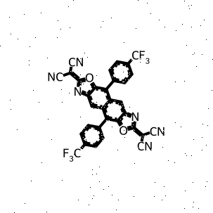 N#CC(C#N)=c1nc2cc3c(-c4ccc(C(F)(F)F)cc4)c4oc(=C(C#N)C#N)nc4cc3c(-c3ccc(C(F)(F)F)cc3)c2o1